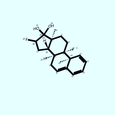 C[C@]12CC[C@]3(F)[C@@H](CC=C4C=CC=C[C@@]43C)[C@@H]1CC(F)C2(O)O